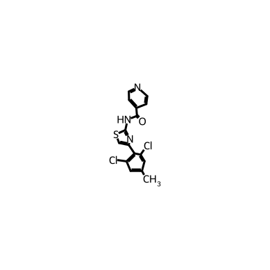 Cc1cc(Cl)c(-c2csc(NC(=O)c3ccncc3)n2)c(Cl)c1